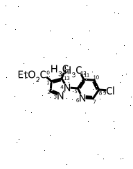 CCOC(=O)c1cnn(-c2ncc(Cl)cc2C)c1C